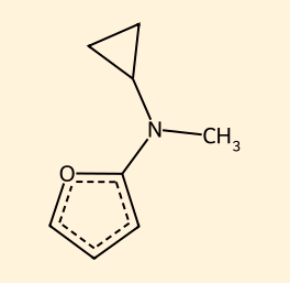 CN(c1ccco1)C1CC1